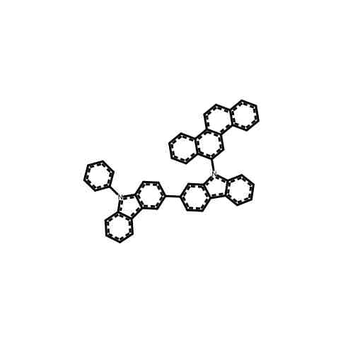 c1ccc(-n2c3ccccc3c3cc(-c4ccc5c6ccccc6n(-c6cc7c8ccccc8ccc7c7ccccc67)c5c4)ccc32)cc1